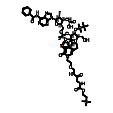 CC(=O)N1CCC[C@@H]1CO[P@@](=S)(OC[C@H]1O[C@@H](n2cnc3c(NC(=O)c4ccccc4)ncnc32)[C@H](F)[C@@H]1O[PH](=O)O)O[C@@H]1[C@H](O[Si](C)(C)C(C)(C)C)[C@@H](CO)O[C@H]1n1cnc2c(=O)n(CCOCNC(=O)CNC(=O)OCC[Si](C)(C)C)cnc21